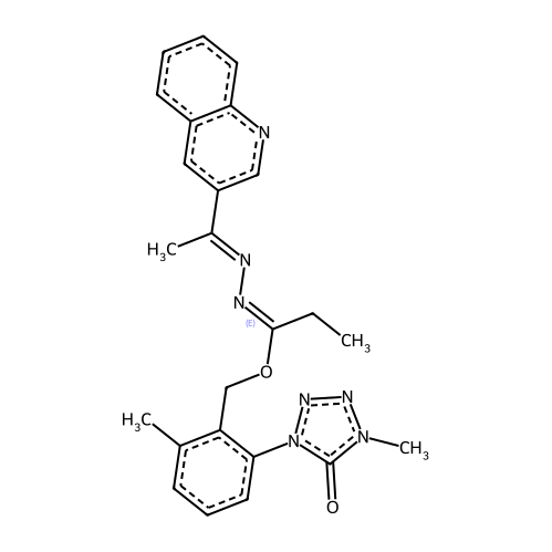 CC/C(=N\N=C(C)c1cnc2ccccc2c1)OCc1c(C)cccc1-n1nnn(C)c1=O